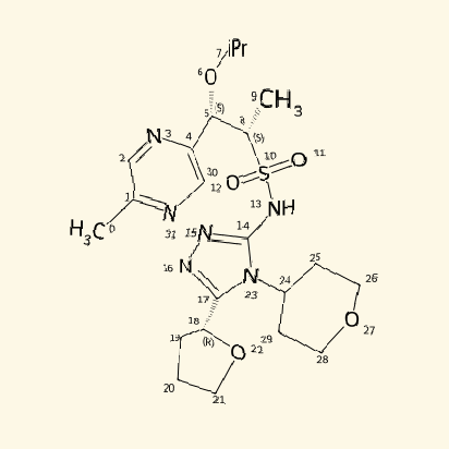 Cc1cnc([C@H](OC(C)C)[C@H](C)S(=O)(=O)Nc2nnc([C@H]3CCCO3)n2C2CCOCC2)cn1